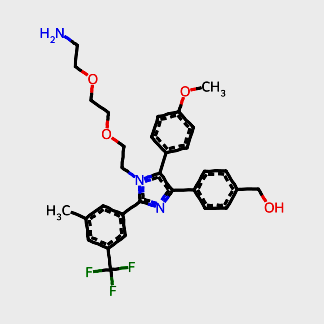 COc1ccc(-c2c(-c3ccc(CO)cc3)nc(-c3cc(C)cc(C(F)(F)F)c3)n2CCOCCOCCN)cc1